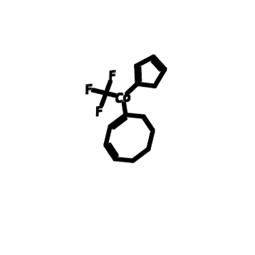 F[C](F)(F)[Co]([C]1=CC=CC1)[C]1=CC=CCCCC1